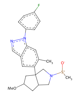 COC1CC2CN([S+](C)[O-])CC2(c2cc3cnn(-c4ccc(F)cc4)c3cc2C)C1